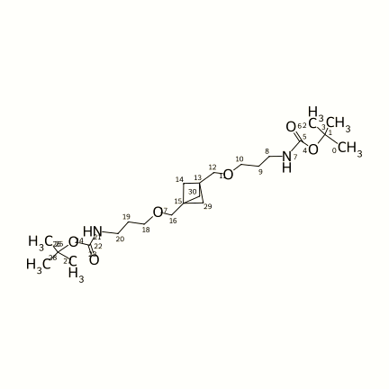 CC(C)(C)OC(=O)NCCCOCC12CC(COCCCNC(=O)OC(C)(C)C)(C1)C2